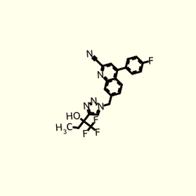 CCC(O)(c1cn(Cc2ccc3c(-c4ccc(F)cc4)cc(C#N)nc3c2)nn1)C(F)(F)F